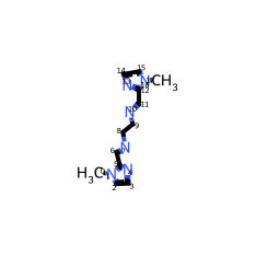 Cn1ccnc1C=NCCN=Cc1nccn1C